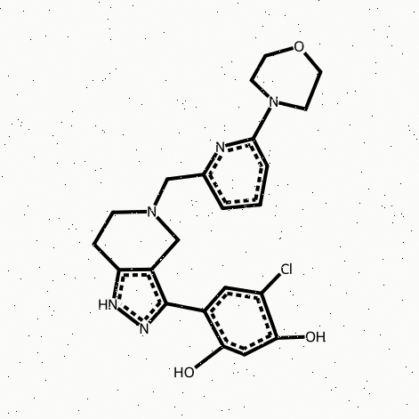 Oc1cc(O)c(-c2n[nH]c3c2CN(Cc2cccc(N4CCOCC4)n2)CC3)cc1Cl